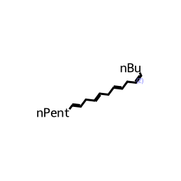 [CH2]CCC/C=C\CC=CCC=CCC=CCCCCC